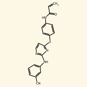 C=CC(=O)Nc1ccc(Sc2ccnc(Nc3cccc(C#N)c3)n2)cc1